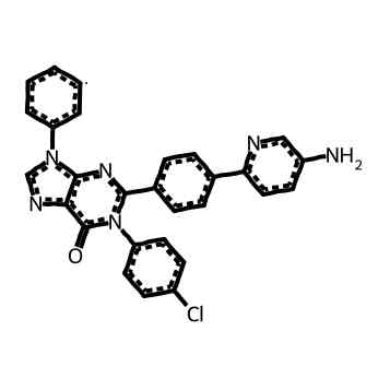 Nc1ccc(-c2ccc(-c3nc4c(ncn4-c4c[c]ccc4)c(=O)n3-c3ccc(Cl)cc3)cc2)nc1